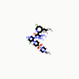 CCCC1(C)CCC(F)/C=N\C(C(C(=O)NC2CNCC(F)C2N2CCC(S(=O)(=O)N3CCN(C)CC3)CC2)C(N)N)C1